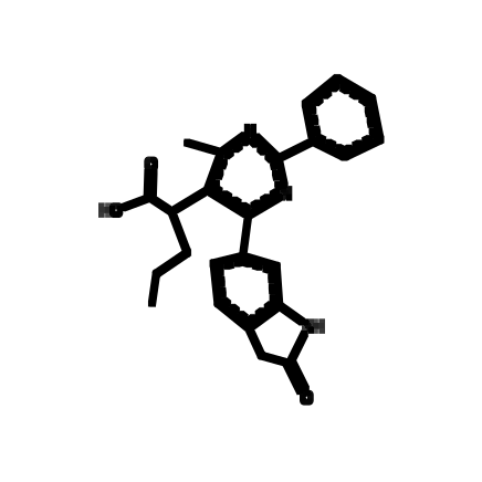 CCCC(C(=O)O)c1c(C)nc(-c2ccccc2)nc1-c1ccc2c(c1)NC(=O)C2